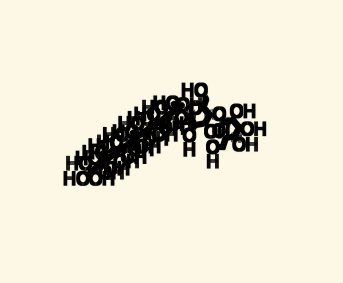 OCC1O[C@H](O[C@@H]2C(CO)O[C@@H](OC(O)(O)C(O)(O)C(O)(O)C(O)(O)C(O)(O)C(O)(O)C(O)(O)C(O)(O)C(O)(O)C(O)(O)C(O)(O)C(O)(O)O)C(O)C2O)C(O)C(O)[C@@H]1O